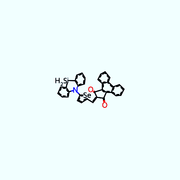 O=C1C(=Cc2ccc(N3c4ccccc4[SiH2]c4ccccc43)[se]2)C(=O)c2c1c1ccccc1c1ccccc21